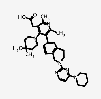 Cc1nc(C)c(-c2ccc3c(c2)CCN(c2nccc(N4CCCCC4)n2)C3)c(N2CCC(C)(C)CC2)c1CC(=O)O